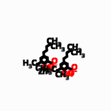 CC(C)CCCc1cc(C(=O)[O-])c(O)c(C(C)C)c1.CC(C)CCCc1cc(C(=O)[O-])c(O)c(C(C)C)c1.[Zn+2]